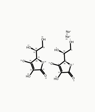 O=C1O[C@H]([C@@H](O)CO)C([O-])=C1O.O=C1O[C@H]([C@@H](O)CO)C([O-])=C1O.[Na+].[Na+]